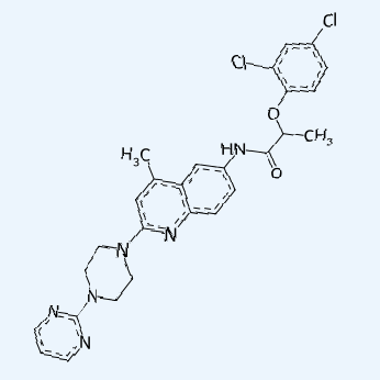 Cc1cc(N2CCN(c3ncccn3)CC2)nc2ccc(NC(=O)C(C)Oc3ccc(Cl)cc3Cl)cc12